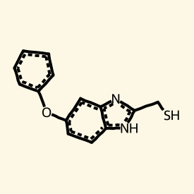 SCc1nc2cc(Oc3ccccc3)ccc2[nH]1